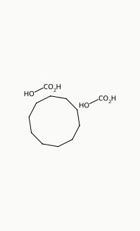 C1CCCCCCCCC1.O=C(O)O.O=C(O)O